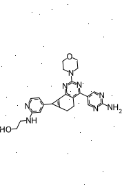 Nc1ncc(-c2nc(N3CCOCC3)nc3c2CCC2=C3C2c2ccnc(NCCO)c2)cn1